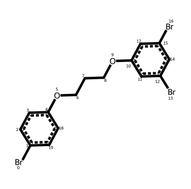 Brc1ccc(OCCCOc2cc(Br)cc(Br)c2)cc1